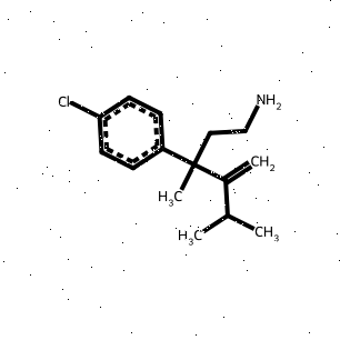 C=C(C(C)C)C(C)(CCN)c1ccc(Cl)cc1